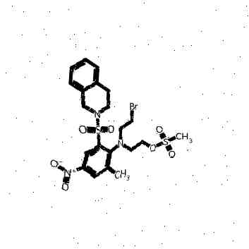 Cc1cc([N+](=O)[O-])cc(S(=O)(=O)N2CCc3ccccc3C2)c1N(CCBr)CCOS(C)(=O)=O